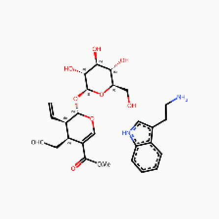 C=C[C@H]1[C@H](O[C@@H]2O[C@H](CO)[C@@H](O)[C@H](O)[C@H]2O)OC=C(C(=O)OC)[C@H]1CC=O.NCCc1c[nH]c2ccccc12